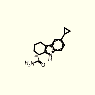 NC(=O)[C@@H]1CCCc2c1[nH]c1ccc(C3CC3)cc21